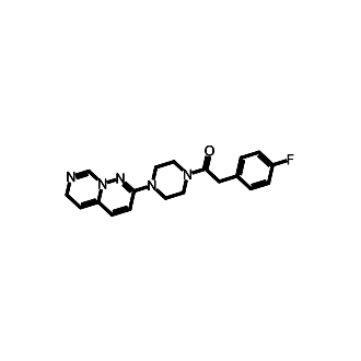 O=C(Cc1ccc(F)cc1)N1CCN(C2=NN3C=NCC=C3C=C2)CC1